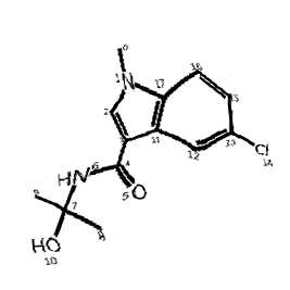 Cn1cc(C(=O)NC(C)(C)O)c2cc(Cl)ccc21